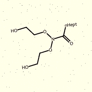 CCCCCCCC(=O)N(OCCO)OCCO